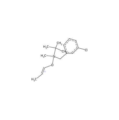 C/C=C/O[Si](C)(Cc1cccc(Cl)c1)C(C)(C)C